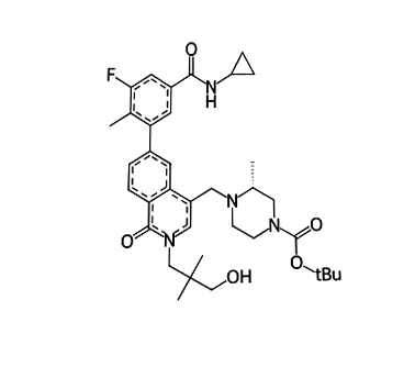 Cc1c(F)cc(C(=O)NC2CC2)cc1-c1ccc2c(=O)n(CC(C)(C)CO)cc(CN3CCN(C(=O)OC(C)(C)C)C[C@H]3C)c2c1